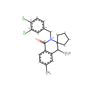 Cc1ccc2c(c1)C(C(=O)O)C1(CCCC1)N(Cc1ccc(Cl)c(Cl)c1)C2=O